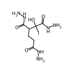 NNC(=O)CCC(C(=O)NN)C(O)(I)C(=O)NN